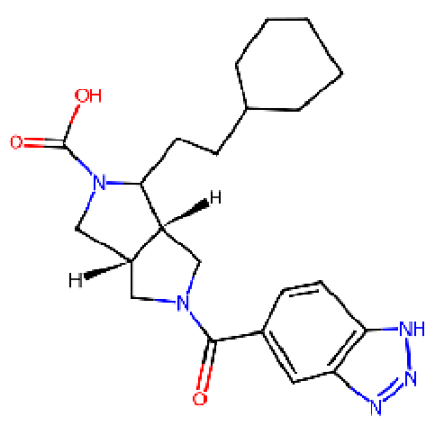 O=C(c1ccc2[nH]nnc2c1)N1C[C@@H]2CN(C(=O)O)C(CCC3CCCCC3)[C@@H]2C1